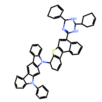 C1=CC(C2N=C(c3cc4sc5c(c4c4ccccc34)C=CCC5n3c4ccccc4c4cc5c6ccccc6n(-c6ccccc6)c5cc43)NC(C3CC=CCC3)N2)=CCC1